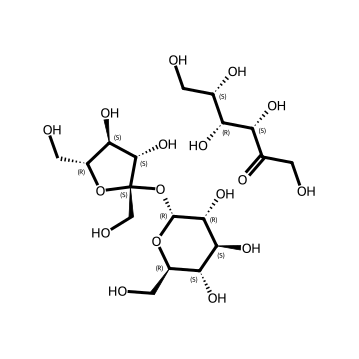 O=C(CO)[C@@H](O)[C@H](O)[C@@H](O)CO.OC[C@H]1O[C@@](CO)(O[C@H]2O[C@H](CO)[C@@H](O)[C@H](O)[C@H]2O)[C@@H](O)[C@@H]1O